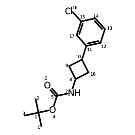 CC(C)(C)OC(=O)NC1CC(c2cccc(Cl)c2)C1